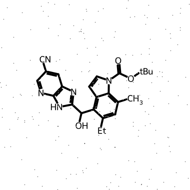 CCc1cc(C)c2c(ccn2C(=O)OC(C)(C)C)c1C(O)c1nc2cc(C#N)cnc2[nH]1